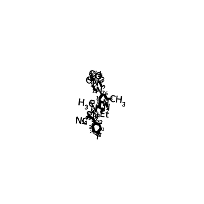 CCc1nn2c(C)cc(N3CCN(S(C)(=O)=O)CC3)cc2c1N(C)c1nc(-c2ccc(F)cc2)c(C#N)s1